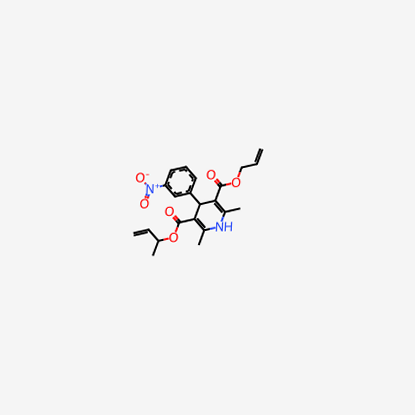 C=CCOC(=O)C1=C(C)NC(C)=C(C(=O)OC(C)C=C)C1c1cccc([N+](=O)[O-])c1